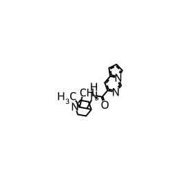 CC1(C)C(NC(=O)c2cc3cccn3cn2)C2CCN1CC2